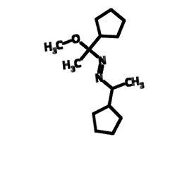 COC(C)(/N=N/C(C)C1CCCC1)C1CCCC1